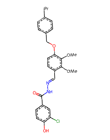 COc1c(/C=N/NC(=O)c2ccc(O)c(Cl)c2)ccc(OCc2ccc(C(C)C)cc2)c1OC